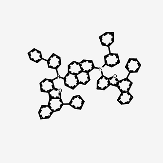 c1ccc(-c2cccc(N(c3ccc4ccc5c(N(c6cccc(-c7ccccc7)c6)c6cccc7c6oc6c(-c8ccccc8)cc8ccccc8c67)ccc6ccc3c4c65)c3cccc4c3oc3c(-c5ccccc5)cc5ccccc5c34)c2)cc1